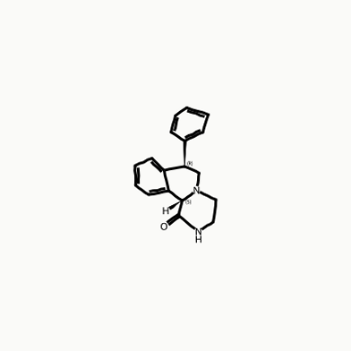 O=C1NCCN2C[C@H](c3ccccc3)c3ccccc3[C@@H]12